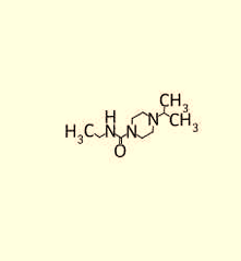 CCNC(=O)N1CCN(C(C)C)CC1